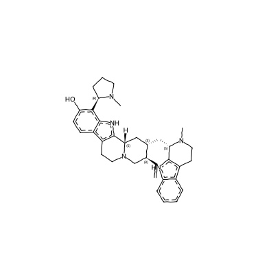 C=C[C@H]1CN2CCc3c([nH]c4c([C@H]5CCCN5C)c(O)ccc34)[C@@H]2C[C@@H]1C[C@H]1c2[nH]c3ccccc3c2CCN1C